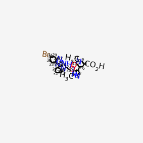 Cn1ncc(-c2cc(C(=O)O)cn(C)c2=O)c1OCCN1CC2CCC(n3c(N)nc4cc(Br)ccc43)(C2)C1